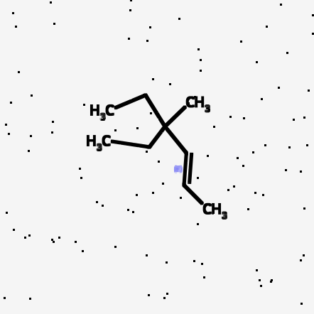 C/C=C/C(C)(CC)CC